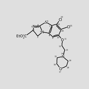 CCOC(=O)C1CN2C(=N1)Sc1c2cc(OCCN2CCOCC2)c(Cl)c1Cl